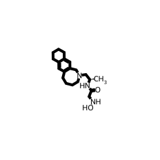 C[C@@H](CN1CCCCc2cc3c(cc2C1)CCCC3)NC(=O)CNO